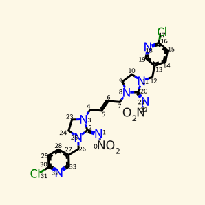 O=[N+]([O-])N=C1N(CC=CCN2CCN(Cc3ccc(Cl)nc3)C2=N[N+](=O)[O-])CCN1Cc1ccc(Cl)nc1